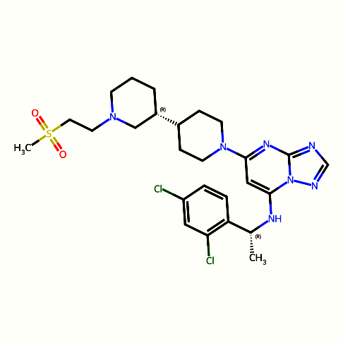 C[C@@H](Nc1cc(N2CCC([C@H]3CCCN(CCS(C)(=O)=O)C3)CC2)nc2ncnn12)c1ccc(Cl)cc1Cl